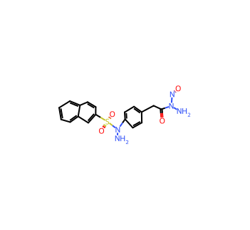 NN(N=O)C(=O)Cc1ccc(N(N)S(=O)(=O)c2ccc3ccccc3c2)cc1